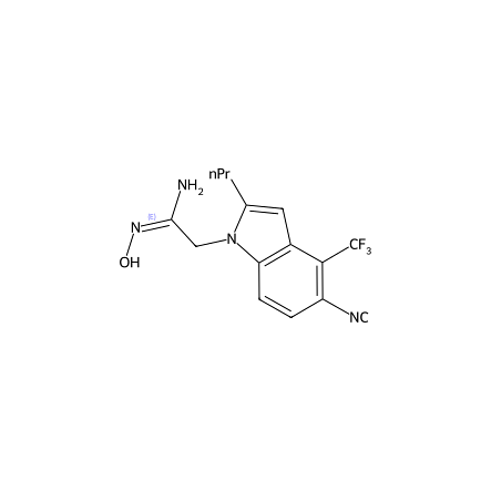 [C-]#[N+]c1ccc2c(cc(CCC)n2C/C(N)=N\O)c1C(F)(F)F